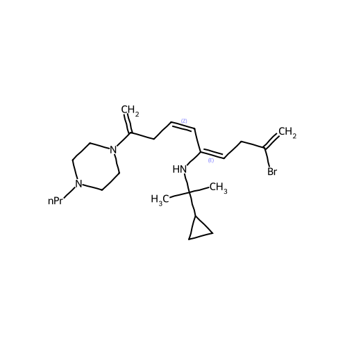 C=C(Br)C/C=C(\C=C/CC(=C)N1CCN(CCC)CC1)NC(C)(C)C1CC1